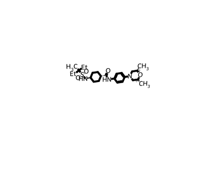 CCC(C)(CC)S(=O)(=O)N[C@H]1CC[C@H](C(=O)Nc2ccc(N3C[C@@H](C)O[C@@H](C)C3)cc2)CC1